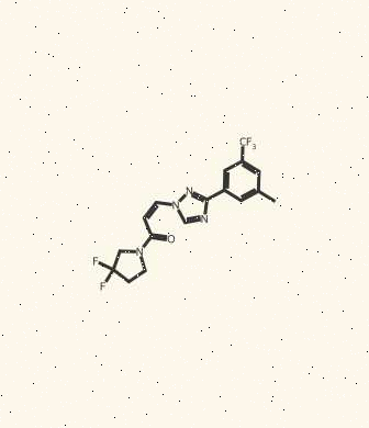 Cc1cc(-c2ncn(/C=C\C(=O)N3CCC(F)(F)C3)n2)cc(C(F)(F)F)c1